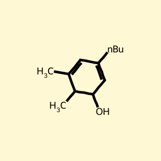 CCCCC1=CC(O)C(C)C(C)=C1